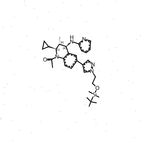 CC(=O)N1c2ccc(-c3cnn(CCO[Si](C)(C)C(C)(C)C)c3)cc2[C@H](Nc2ccccn2)[C@@H](C)[C@@H]1C1CC1